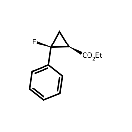 CCOC(=O)[C@@H]1C[C@@]1(F)c1ccccc1